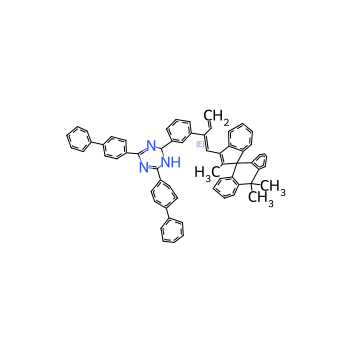 C=C/C(=C\C1=C(C)C2(c3ccccc31)c1ccccc1C(C)(C)c1ccccc12)c1cccc(C2N=C(c3ccc(-c4ccccc4)cc3)N=C(c3ccc(-c4ccccc4)cc3)N2)c1